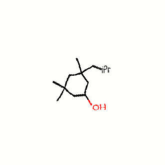 CC(C)CC1(C)CC(O)CC(C)(C)C1